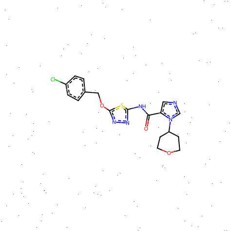 O=C(Nc1nnc(OCc2ccc(Cl)cc2)s1)c1cncn1C1CCOCC1